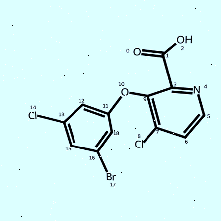 O=C(O)c1nccc(Cl)c1Oc1cc(Cl)cc(Br)c1